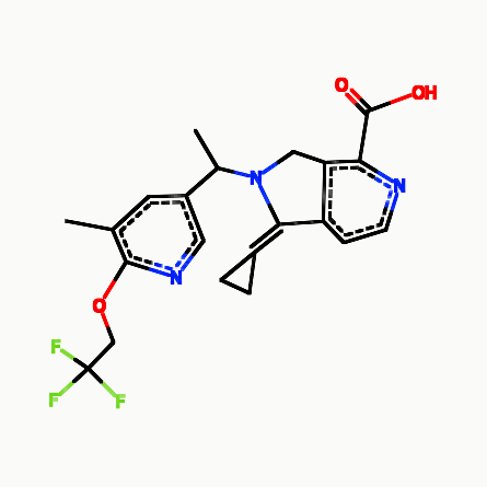 Cc1cc(C(C)N2Cc3c(ccnc3C(=O)O)C2=C2CC2)cnc1OCC(F)(F)F